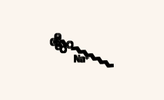 CCCCCCCCCCCCOC(=O)CS(=O)(=O)[O-].[Na+]